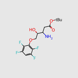 CC(C)(C)OC(=O)CC(N)[C@H](O)COc1c(F)c(F)cc(F)c1F